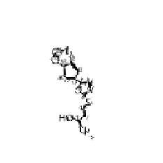 C=C(O)CCSc1nnc(-c2ccc(OC)cc2)o1